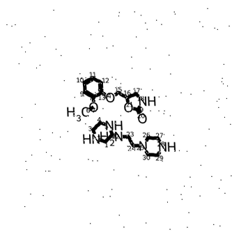 C1CNCCN1.COc1ccccc1OCC1CNC(=O)O1.NCCN1CCNCC1